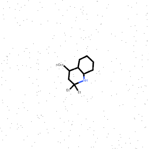 CCCCCCCCC1CC(CC)(CC)NC2CCCCC12